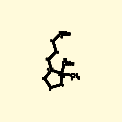 CNCCCN1CCC[Si]1(C)OC